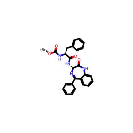 CC(C)(C)OC(=O)N[C@@H](Cc1ccccc1)C(=O)N[C@H]1N=C(c2ccccc2)c2ccccc2NC1=O